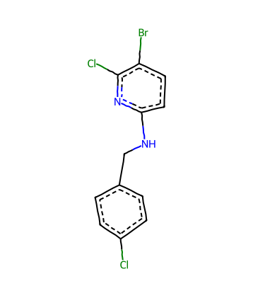 Clc1ccc(CNc2ccc(Br)c(Cl)n2)cc1